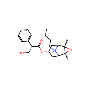 CCCC[N+]1(C)C2C[C@H](OC(=O)[C@H](CO)c3ccccc3)CC1[C@@H]1O[C@H]21